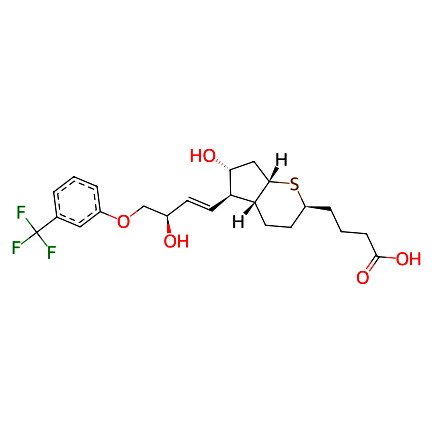 O=C(O)CCC[C@H]1CC[C@@H]2[C@@H](C=C[C@@H](O)COc3cccc(C(F)(F)F)c3)[C@H](O)C[C@@H]2S1